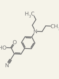 CCCN(CCC)c1ccc(C=C(C#N)C(=O)O)cc1